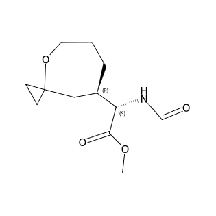 COC(=O)[C@@H](NC=O)[C@@H]1CCCOC2(CC2)C1